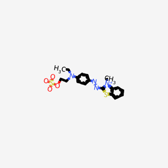 CCN(CCOS(=O)(=O)[O-])c1ccc(N=Nc2sc3ccccc3[n+]2C)cc1